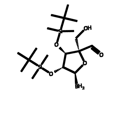 B[C@@H]1O[C@@](C=O)(CO)[C@@H](O[Si](C)(C)C(C)(C)C)[C@H]1O[Si](C)(C)C(C)(C)C